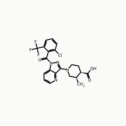 C[C@H]1CN(c2nn(C(=O)c3c(Cl)cccc3C(F)(F)F)c3cccnc23)CC[C@H]1C(=O)O